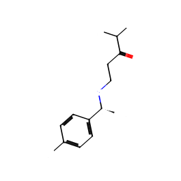 Bc1ccc([C@H](C)NCCC(=O)C(C)C)cc1